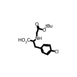 CC(C)(C)OC(=O)CNC(Cc1ccc(Cl)cc1)C(=O)O